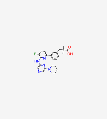 CC(C)(Cc1cccc(-c2ccc(F)c(Nc3cncc(N4CCCCC4)n3)n2)c1)C(=O)O